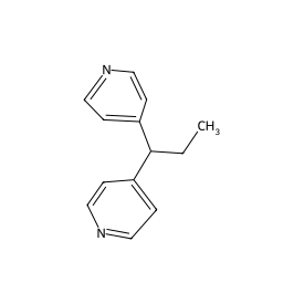 CCC(c1ccncc1)c1ccncc1